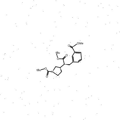 COC(=O)c1cccc(C[C@H](C(=O)OC(C)(C)C)[C@H]2CCN(C(=O)OC(C)(C)C)C2)c1